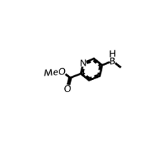 CBc1ccc(C(=O)OC)nc1